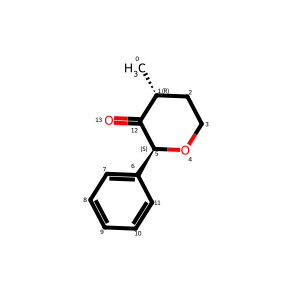 C[C@@H]1CCO[C@@H](c2ccccc2)C1=O